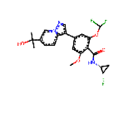 COc1cc(-c2cnn3cc(C(C)(C)O)ccc23)cc(OC(F)F)c1C(=O)N[C@@H]1C[C@@H]1F